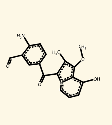 COc1c(C)c(C(=O)c2ccc(N)c(C=O)c2)n2cccc(O)c12